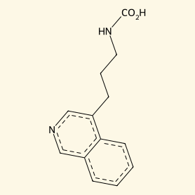 O=C(O)NCCCc1cncc2ccccc12